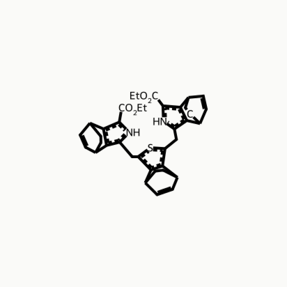 CCOC(=O)c1[nH]c(Cc2sc(Cc3[nH]c(C(=O)OCC)c4c3C3C=CC4CC3)c3c2C2C=CC3CC2)c2c1C1C=CC2CC1